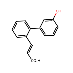 O=C(O)/C=C/c1ccccc1-c1cccc(O)c1